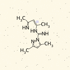 CC(=N)/C=C(/C)NC(=N)n1nc(C)cc1C